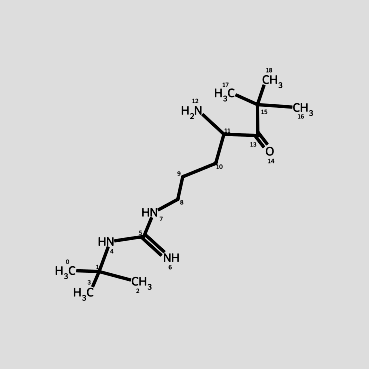 CC(C)(C)NC(=N)NCCCC(N)C(=O)C(C)(C)C